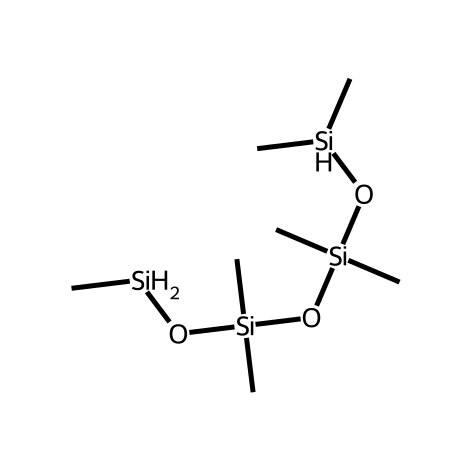 C[SiH2]O[Si](C)(C)O[Si](C)(C)O[SiH](C)C